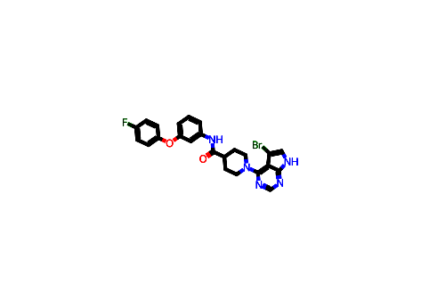 O=C(Nc1cccc(Oc2ccc(F)cc2)c1)C1CCN(c2ncnc3[nH]cc(Br)c23)CC1